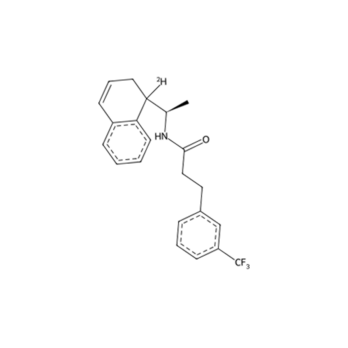 [2H]C1([C@@H](C)NC(=O)CCc2cccc(C(F)(F)F)c2)CC=Cc2ccccc21